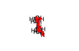 CN1CCN(c2ccc3nc(-c4c(N[C@@H]5CCNC(CN6CCN(c7ccc8nc(-c9c(NCc%10ccccn%10)c%10sccc%10[nH]c9=O)[nH]c8c7)CC6)C5)c5ccsc5[nH]c4=O)[nH]c3c2)CC1